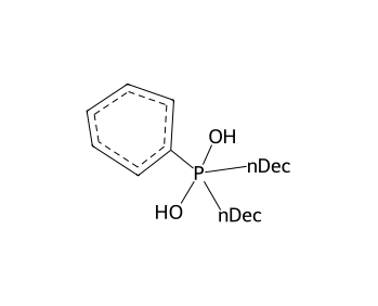 CCCCCCCCCCP(O)(O)(CCCCCCCCCC)c1ccccc1